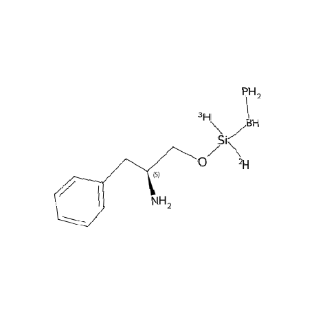 [2H][Si]([3H])(BP)OC[C@@H](N)Cc1ccccc1